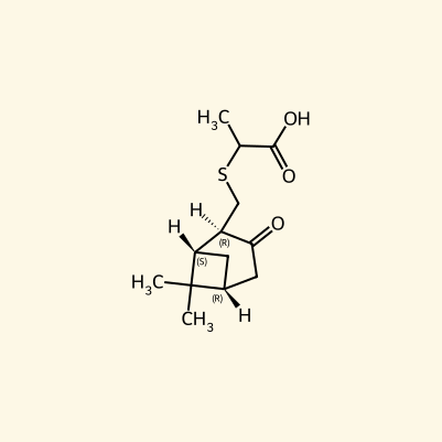 CC(SC[C@H]1C(=O)C[C@H]2C[C@@H]1C2(C)C)C(=O)O